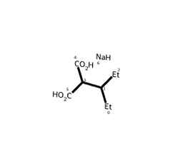 CCC(CC)C(C(=O)O)C(=O)O.[NaH]